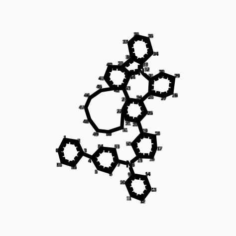 c1ccc(-c2ccc(N(c3ccccc3)c3cccc(-c4cc5c6c(c4)-c4ccccc4-n4c7ccccc7c7ccc(c-6c74)CCCCCCC5)c3)cc2)cc1